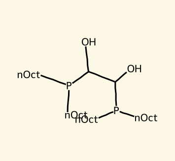 CCCCCCCCP(CCCCCCCC)C(O)C(O)P(CCCCCCCC)CCCCCCCC